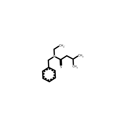 [CH2]CN(Cc1ccccc1)C(=S)CC(C)C